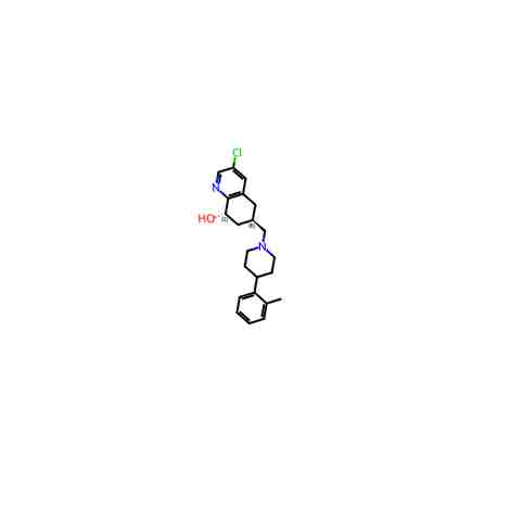 Cc1ccccc1C1CCN(C[C@@H]2Cc3cc(Cl)cnc3[C@@H](O)C2)CC1